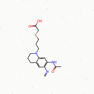 C=Nc1cc2c(cc1NC(C)=O)N(CCCSCC(=O)O)CCC2